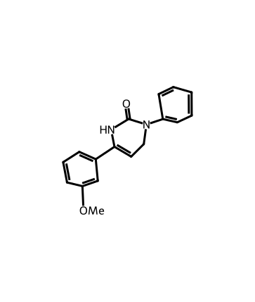 COc1cccc(C2=CCN(c3ccccc3)C(=O)N2)c1